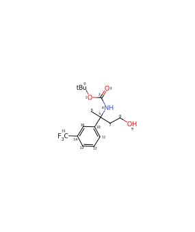 CC(C)(C)OC(=O)NC(C)(CCO)c1cccc(C(F)(F)F)c1